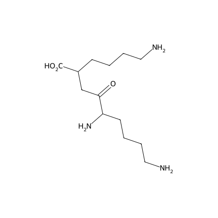 NCCCCC(N)C(=O)CC(CCCCN)C(=O)O